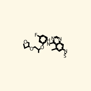 Cc1cc(N=S)cc2ncnc(Nc3ccc(F)cc3OC(C)COC3CCOC3)c12